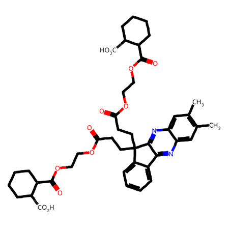 Cc1cc2nc3c(nc2cc1C)C(CCC(=O)OCCOC(=O)C1CCCCC1C(=O)O)(CCC(=O)OCCOC(=O)C1CCCCC1C(=O)O)c1ccccc1-3